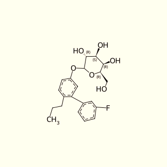 CCCc1ccc(OC2O[C@H](CO)[C@H](O)[C@H](O)[C@H]2O)cc1-c1cccc(F)c1